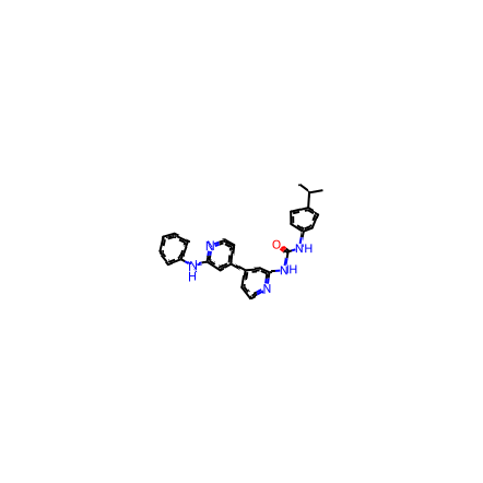 CC(C)c1ccc(NC(=O)Nc2cc(-c3ccnc(Nc4ccccc4)c3)ccn2)cc1